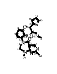 CNCC(O)[C@@H](Oc1cccc(N2CCN(C)c3nc(C)ncc3C2=O)c1)c1cccs1